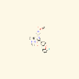 CC(C)(C)NC(=O)c1c(-c2ccc(Oc3c(F)cccc3F)cc2)cn([C@@H]2CCN(C(=O)OC(C)(C)C)C2)c1C=O